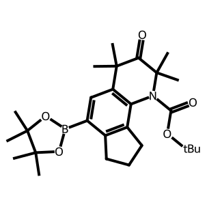 CC(C)(C)OC(=O)N1c2c(cc(B3OC(C)(C)C(C)(C)O3)c3c2CCC3)C(C)(C)C(=O)C1(C)C